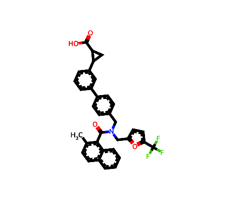 Cc1ccc2ccccc2c1C(=O)N(Cc1ccc(-c2cccc(C3CC3C(=O)O)c2)cc1)Cc1ccc(C(F)(F)F)o1